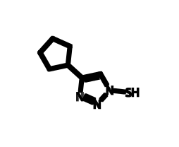 Sn1cc(C2CCCC2)nn1